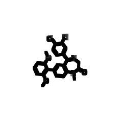 COc1cccc(OC)c1-c1ccc2c(c1)C(c1ccc(Cl)c(Cl)c1)=NCC(=O)N2C